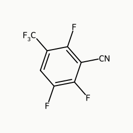 N#Cc1c(F)c(F)cc(C(F)(F)F)c1F